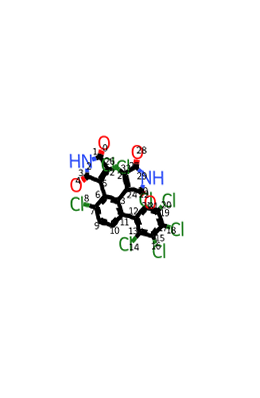 O=C1NC(=O)C(c2c(Cl)ccc(-c3c(Cl)c(Cl)c(Cl)c(Cl)c3Cl)c2C2=C(Cl)C(=O)NC2=O)=C1Cl